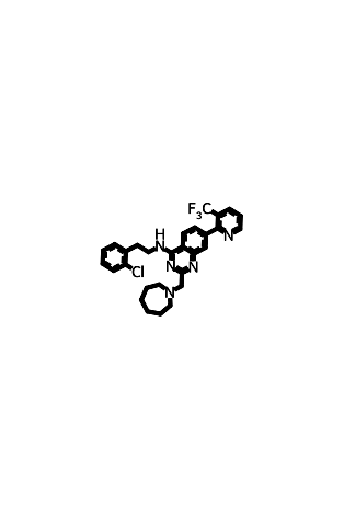 FC(F)(F)c1cccnc1-c1ccc2c(NCCc3ccccc3Cl)nc(CN3CCCCCC3)nc2c1